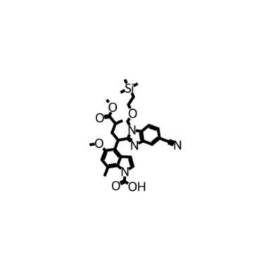 COC(=O)C(C)CC(c1c(OC)cc(C)c2c1ccn2C(=O)O)c1nc2cc(C#N)ccc2n1COCC[Si](C)(C)C